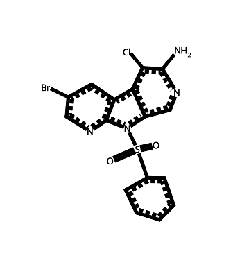 Nc1ncc2c(c1Cl)c1cc(Br)cnc1n2S(=O)(=O)c1ccccc1